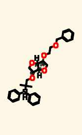 CC(C)(CO[C@@H]1CO[C@H]2[C@H]1OC[C@H]2OCCOCc1ccccc1)[SiH](c1ccccc1)c1ccccc1